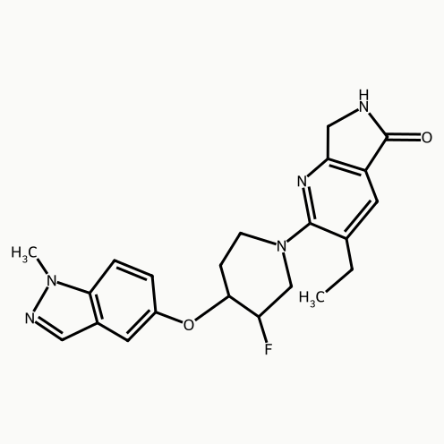 CCc1cc2c(nc1N1CCC(Oc3ccc4c(cnn4C)c3)C(F)C1)CNC2=O